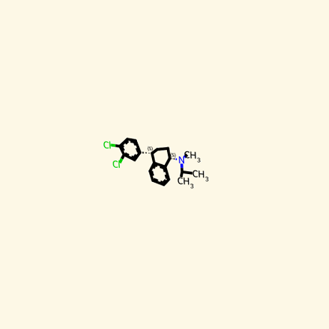 CC(C)N(C)[C@H]1CC[C@@H](c2ccc(Cl)c(Cl)c2)c2ccccc21